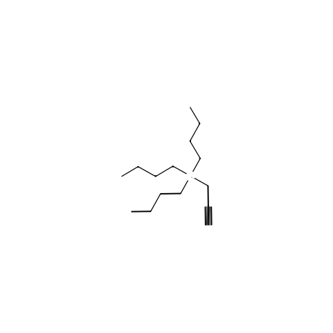 C#CC[Si](CCCC)(CCCC)CCCC